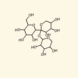 OCC1OC(C2(OC3OCC(O)C(O)C3O)OCC(O)C(O)C2O)C(O)C(O)C1O